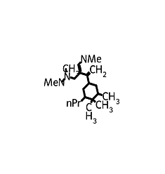 C=C(/C(=C\NC)CN(C)NC)C1CC(C)C(C)(C)C(CCC)C1